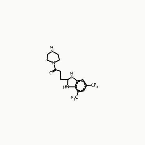 O=C(CCC1Nc2cc(C(F)(F)F)cc(C(F)(F)F)c2N1)N1CCNCC1